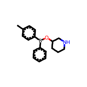 Cc1ccc(B(OC2CCCNC2)c2ccccc2)cc1